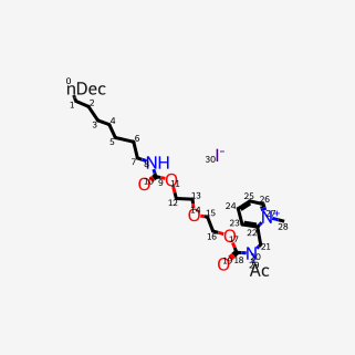 CCCCCCCCCCCCCCCCCNC(=O)OCCOCCOC(=O)N(Cc1cccc[n+]1C)C(C)=O.[I-]